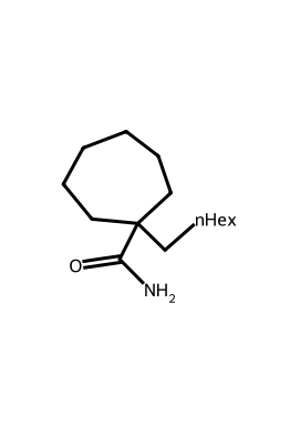 CCCCCCCC1(C(N)=O)CCCCCC1